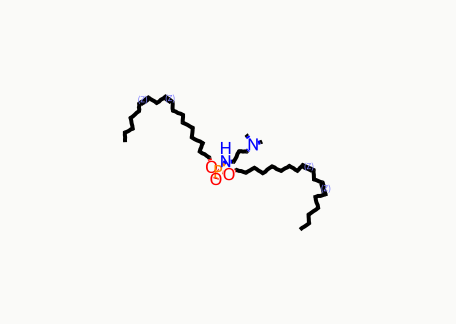 CCCCC/C=C\C/C=C\CCCCCCCCOP(=O)(NCCCN(C)C)OCCCCCCCC/C=C\C/C=C\CCCCC